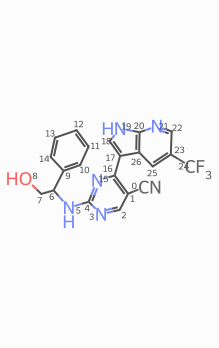 N#Cc1cnc(NC(CO)c2ccccc2)nc1-c1c[nH]c2ncc(C(F)(F)F)cc12